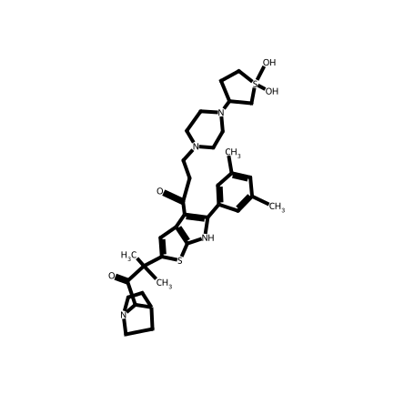 Cc1cc(C)cc(-c2[nH]c3sc(C(C)(C)C(=O)C4C5CCN4CC5)cc3c2C(=O)CCN2CCN(C3CCS(O)(O)C3)CC2)c1